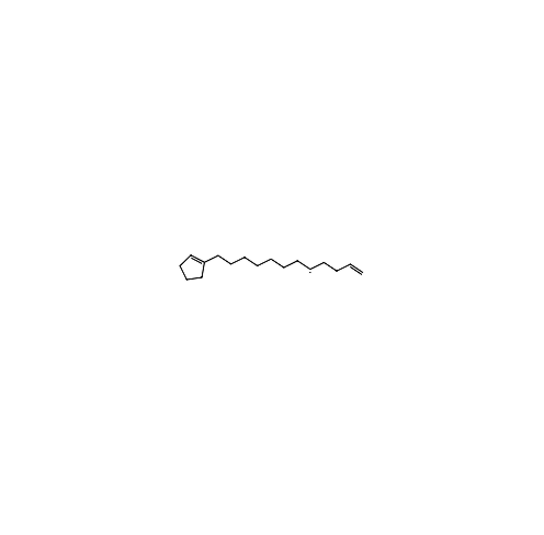 C=CCC[CH]CCCCCCCC1=CCCC1